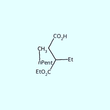 CCCCCC.CCOC(=O)C(CC)CC(=O)O